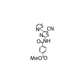 COC(=O)c1ccc(C(=O)Nc2nc(-c3nccs3)c(C#N)s2)cc1